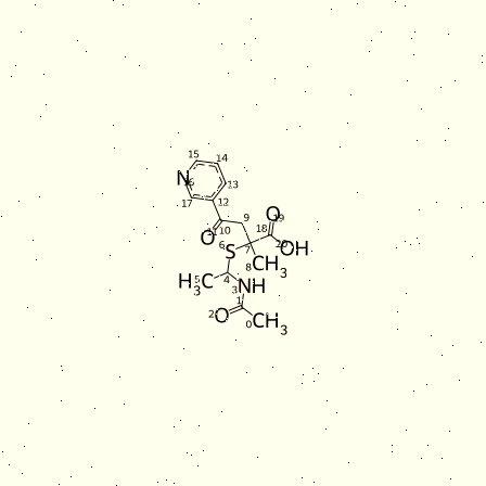 CC(=O)NC(C)SC(C)(CC(=O)c1cccnc1)C(=O)O